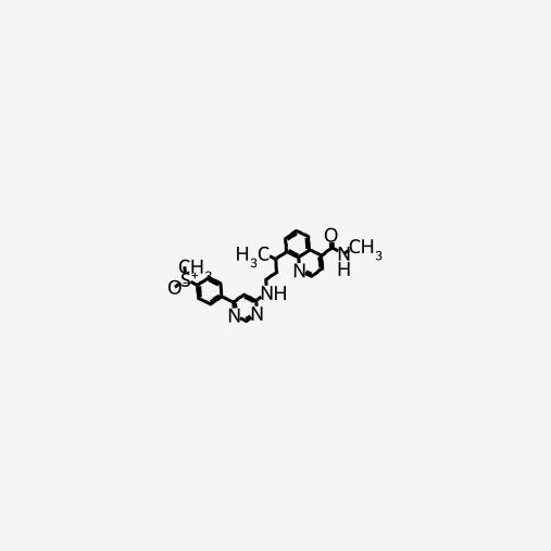 CNC(=O)c1ccnc2c(C(C)CCNc3cc(-c4ccc([S+](C)[O-])cc4)ncn3)cccc12